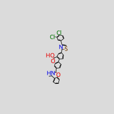 CC(NC(=O)c1ccc(-c2ccc(-c3nc(-c4ccc(Cl)c(Cl)c4)cs3)cc2C(=O)O)cc1)c1ccccc1